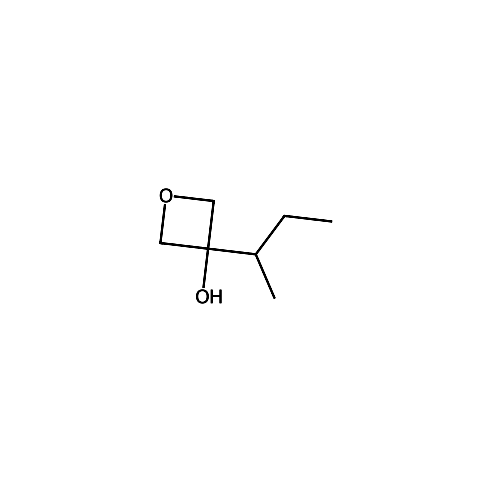 CCC(C)C1(O)COC1